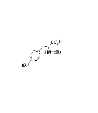 CC(C)(C)NC(Cc1ccc(C(C)(C)C)cc1)C(=O)O